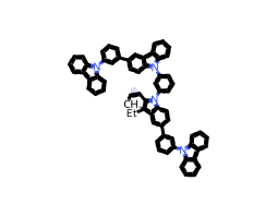 C/C=C\c1c(CC)c2cc(-c3cccc(-n4c5ccccc5c5ccccc54)c3)ccc2n1-c1cccc(-n2c3ccccc3c3cc(-c4cccc(-n5c6ccccc6c6ccccc65)c4)ccc32)c1